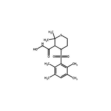 Cc1cc(C)c(C)c(S(=O)(=O)N2CCSC(C)(C)C2C(=O)NO)c1C